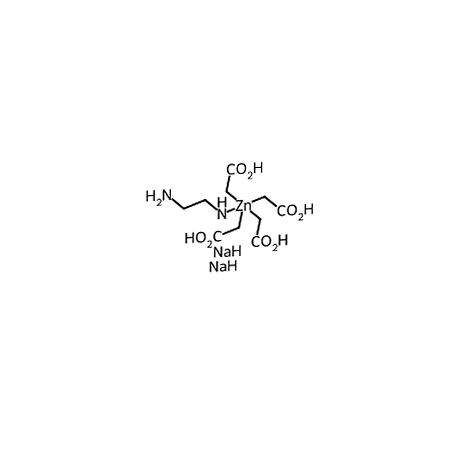 NCC[NH][Zn]([CH2]C(=O)O)([CH2]C(=O)O)([CH2]C(=O)O)[CH2]C(=O)O.[NaH].[NaH]